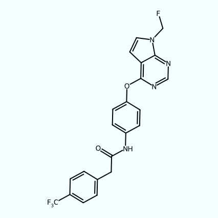 O=C(Cc1ccc(C(F)(F)F)cc1)Nc1ccc(Oc2ncnc3c2ccn3CF)cc1